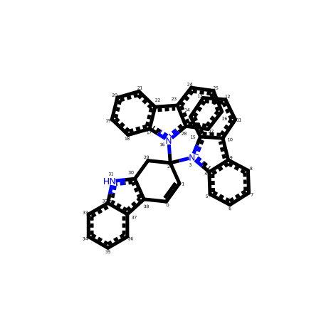 C1=CC(n2c3ccccc3c3ccccc32)(n2c3ccccc3c3ccccc32)Cc2[nH]c3ccccc3c21